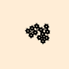 c1ccc(C2(c3ccccc3)c3ccccc3-c3c(-c4cccc5c6ccccc6n(-c6ccc7c(c6)c6ccccc6n7-c6cccc([Si](c7ccccc7)(c7ccccc7)c7ccccc7)c6)c45)cccc32)cc1